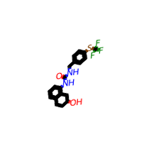 O=C(NCc1ccc(SC(F)(F)F)cc1)Nc1cccc2c1CC(O)CC2